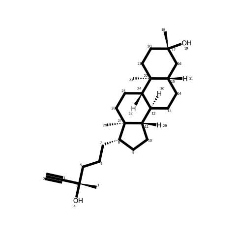 C#C[C@@](C)(O)CCC[C@H]1CC[C@H]2[C@@H]3CC[C@H]4C[C@@](C)(O)CC[C@]4(C)[C@H]3CC[C@]12C